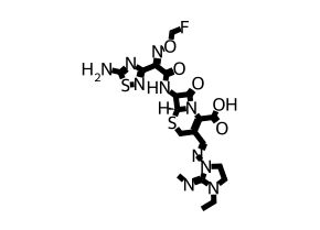 CCN1CCN(N=CC2=C(C(=O)O)N3C(=O)C(NC(=O)/C(=N\OCF)c4nsc(N)n4)[C@@H]3SC2)C1=NC